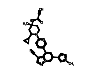 C#CC(=O)NC1(C)CCN(c2ccc(-c3cc(-c4cnn(C)c4)cn4ncc(C#N)c34)cn2)C(C2CC2)C1